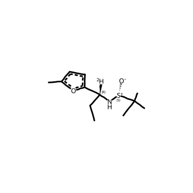 [2H][C@](CC)(N[S@+]([O-])C(C)(C)C)c1ccc(C)o1